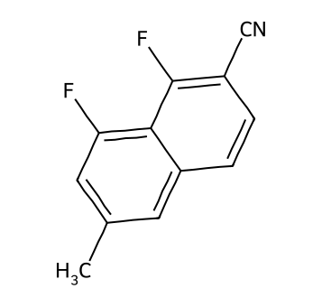 Cc1cc(F)c2c(F)c(C#N)ccc2c1